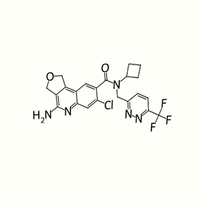 Nc1nc2cc(Cl)c(C(=O)N(Cc3ccc(C(F)(F)F)nn3)C3CCC3)cc2c2c1COC2